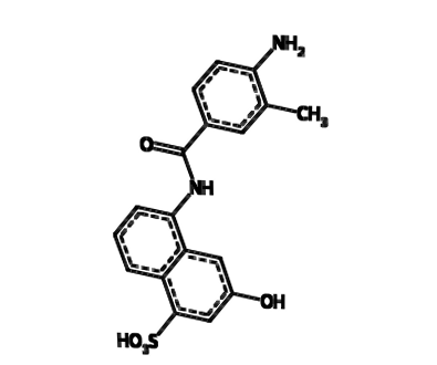 Cc1cc(C(=O)Nc2cccc3c(S(=O)(=O)O)cc(O)cc23)ccc1N